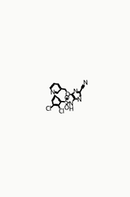 N#Cc1cnc(NS(=O)(=O)c2cccc(Cl)c2Cl)c(OCc2cccnc2)n1